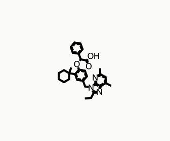 CCc1nc2c(C)cc(C)nc2n1Cc1ccc(OC(C(=O)O)c2ccccc2)c(C2(C)CCCCC2)c1